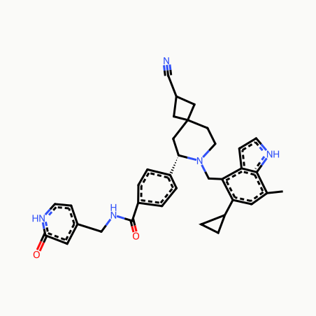 Cc1cc(C2CC2)c(CN2CCC3(CC(C#N)C3)C[C@H]2c2ccc(C(=O)NCc3cc[nH]c(=O)c3)cc2)c2cc[nH]c12